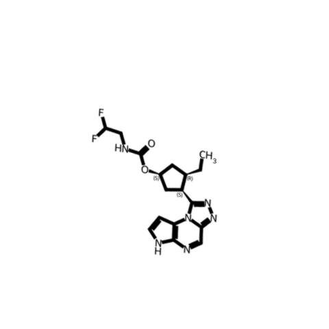 CC[C@@H]1C[C@H](OC(=O)NCC(F)F)C[C@@H]1c1nnc2cnc3[nH]ccc3n12